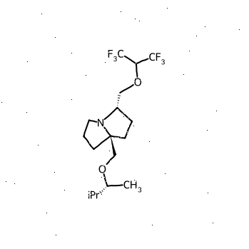 CC(C)[C@@H](C)OC[C@@]12CCCN1[C@H](COC(C(F)(F)F)C(F)(F)F)CC2